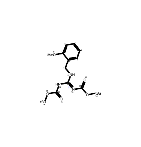 COc1ccccc1CN/C(=N\C(=O)OC(C)(C)C)NC(=O)OC(C)(C)C